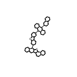 c1ccc2cc(-c3c4ccccc4c(-c4ccc5oc6cc(-c7c8ccccc8cc8c7sc7c9ccccc9ccc87)ccc6c5c4)c4ccccc34)ccc2c1